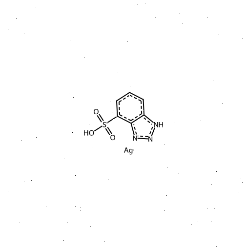 O=S(=O)(O)c1cccc2[nH]nnc12.[Ag]